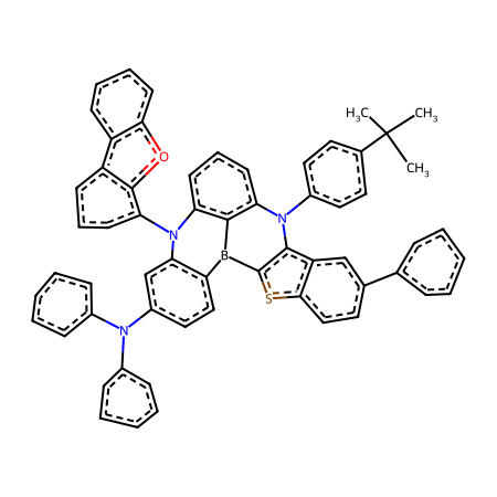 CC(C)(C)c1ccc(N2c3cccc4c3B(c3ccc(N(c5ccccc5)c5ccccc5)cc3N4c3cccc4c3oc3ccccc34)c3sc4ccc(-c5ccccc5)cc4c32)cc1